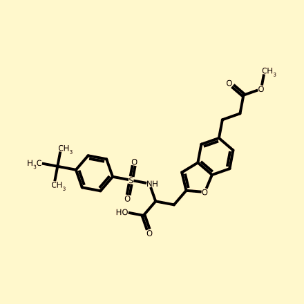 COC(=O)CCc1ccc2oc(CC(NS(=O)(=O)c3ccc(C(C)(C)C)cc3)C(=O)O)cc2c1